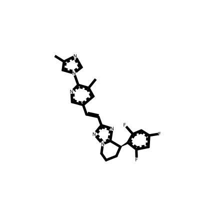 Cc1cn(-c2ncc(/C=C/c3nc4n(n3)CCC[C@@H]4c3c(F)cc(F)cc3F)cc2C)cn1